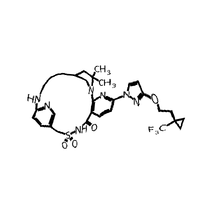 CC1(C)CC2CCCNc3ccc(cn3)S(=O)(=O)NC(=O)c3ccc(-n4ccc(OCCC5(C(F)(F)F)CC5)n4)nc3N1C2